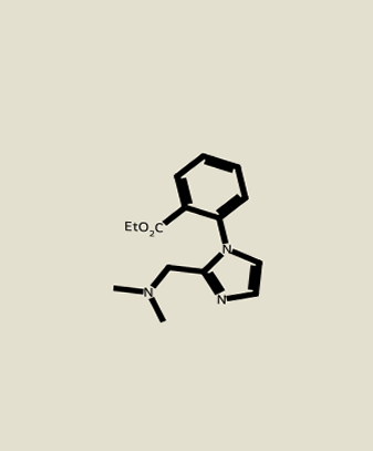 CCOC(=O)c1ccccc1-n1ccnc1CN(C)C